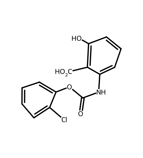 O=C(Nc1cccc(O)c1C(=O)O)Oc1ccccc1Cl